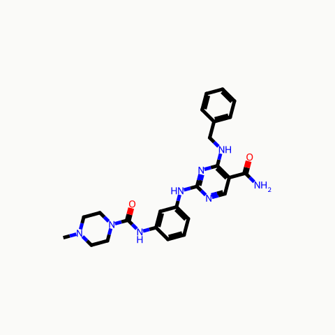 CN1CCN(C(=O)Nc2cccc(Nc3ncc(C(N)=O)c(NCc4ccccc4)n3)c2)CC1